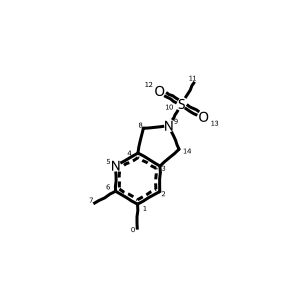 Cc1cc2c(nc1C)CN(S(C)(=O)=O)C2